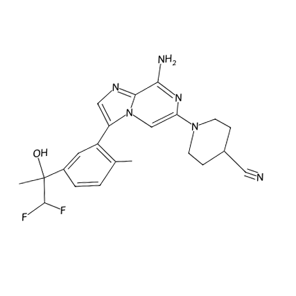 Cc1ccc(C(C)(O)C(F)F)cc1-c1cnc2c(N)nc(N3CCC(C#N)CC3)cn12